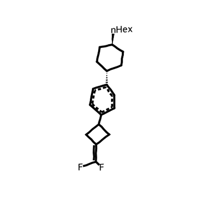 CCCCCC[C@H]1CC[C@H](c2ccc(C3CC(=C(F)F)C3)cc2)CC1